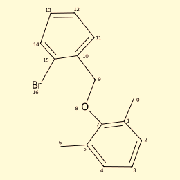 Cc1cccc(C)c1OCc1ccccc1Br